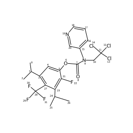 CC(C)c1cc(OC(=O)N(CC(Cl)(Cl)Cl)c2cccnc2)c(F)c(C(C)C)c1C(F)(F)F